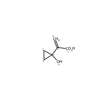 C=C(C(=O)O)C1(O)CC1